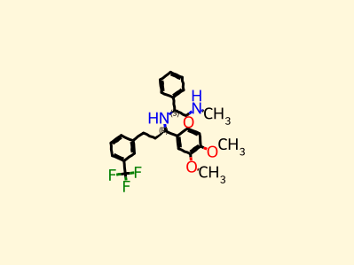 CNC(=O)[C@@H](N[C@H](CCc1cccc(C(F)(F)F)c1)c1ccc(OC)c(OC)c1)c1ccccc1